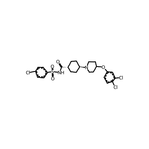 O=C(NS(=O)(=O)c1ccc(Cl)cc1)[C@H]1CC[C@H](N2CCC(Oc3ccc(Cl)c(Cl)c3)CC2)CC1